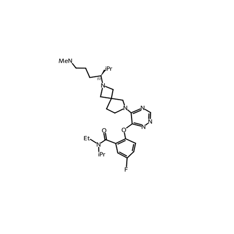 CCN(C(=O)c1cc(F)ccc1Oc1nncnc1N1CCC2(C1)CN([C@@H](CCCNC)C(C)C)C2)C(C)C